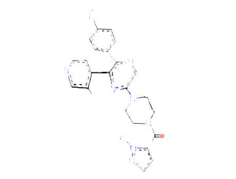 Cn1nccc1C(=O)N1CCN(c2cnc(-c3ccc(F)cc3)c(-c3ccncc3Cl)n2)CC1